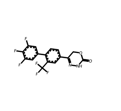 O=C1NN=C(c2ccc(-c3cc(F)c(F)c(F)c3)c(C(F)(F)F)c2)CO1